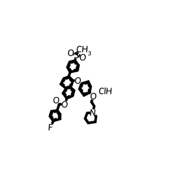 CS(=O)(=O)c1ccc(-c2ccc3cc(OC(=O)c4ccc(F)cc4)ccc3c2Oc2ccc(OCCN3CCCCC3)cc2)cc1.Cl